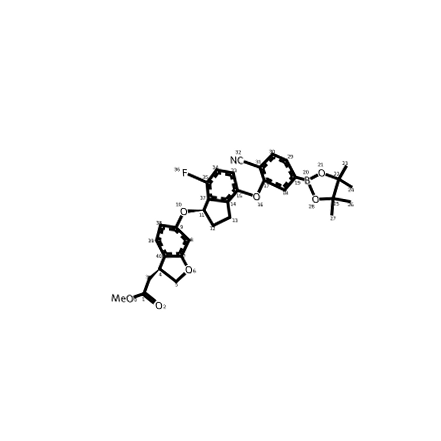 COC(=O)C[C@@H]1COc2cc(O[C@@H]3CCc4c(Oc5cc(B6OC(C)(C)C(C)(C)O6)ccc5C#N)ccc(F)c43)ccc21